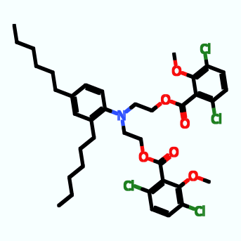 CCCCCCc1ccc(N(CCOC(=O)c2c(Cl)ccc(Cl)c2OC)CCOC(=O)c2c(Cl)ccc(Cl)c2OC)c(CCCCCC)c1